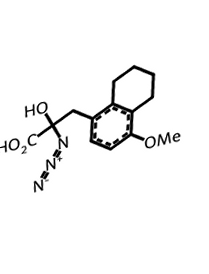 COc1ccc(CC(O)(N=[N+]=[N-])C(=O)O)c2c1CCCC2